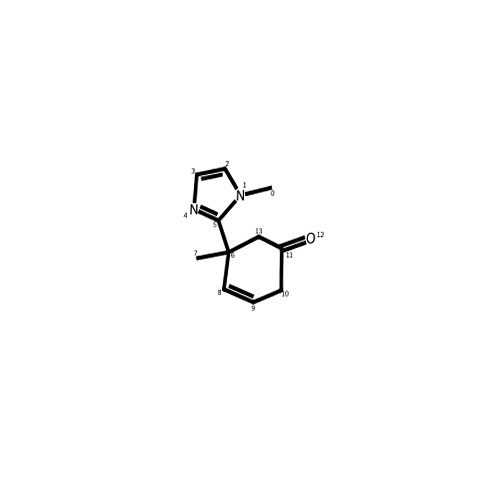 Cn1ccnc1C1(C)C=CCC(=O)C1